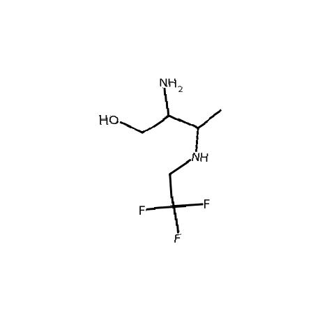 CC(NCC(F)(F)F)C(N)CO